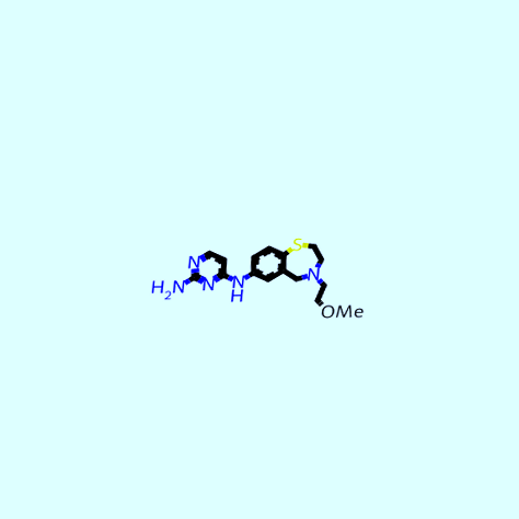 COCCN1CCSc2ccc(Nc3ccnc(N)n3)cc2C1